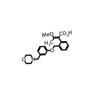 COC(C)=C(C(=O)O)c1ccccc1COc1cccc(CN2CCOCC2)c1